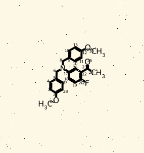 COc1ccc(CN(Cc2ccc(OC)cc2)c2ccc(F)c(C(C)=O)c2)cc1